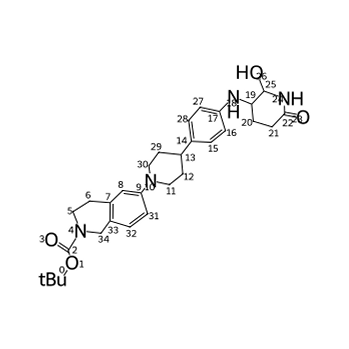 CC(C)(C)OC(=O)N1CCc2cc(N3CCC(c4ccc(NC5CCC(=O)NC5O)cc4)CC3)ccc2C1